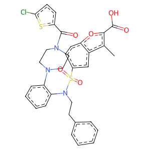 Cc1c(C(=O)O)oc2ccc(S(=O)(=O)N(CCc3ccccc3)c3ccccc3N3CCN(C(=O)c4ccc(Cl)s4)CC3)cc12